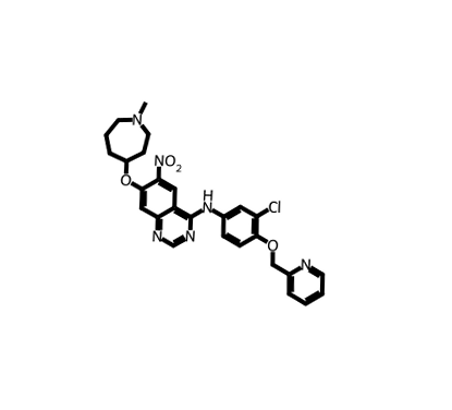 CN1CCCC(Oc2cc3ncnc(Nc4ccc(OCc5ccccn5)c(Cl)c4)c3cc2[N+](=O)[O-])CC1